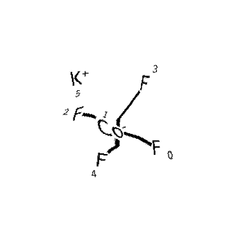 [F][Co-]([F])([F])[F].[K+]